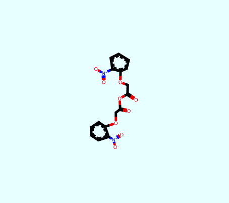 O=C(COc1ccccc1[N+](=O)[O-])OC(=O)COc1ccccc1[N+](=O)[O-]